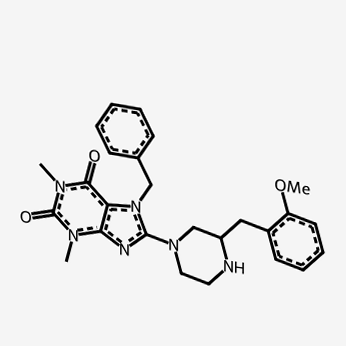 COc1ccccc1CC1CN(c2nc3c(c(=O)n(C)c(=O)n3C)n2Cc2ccccc2)CCN1